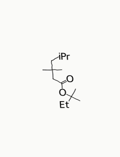 CCC(C)(C)OC(=O)CC(C)(C)CC(C)C